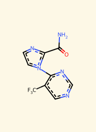 NC(=O)c1nccn1-c1ncncc1C(F)(F)F